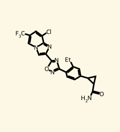 CCc1cc(C2CC2C(N)=O)ccc1-c1noc(-c2cn3cc(C(F)(F)F)cc(Cl)c3n2)n1